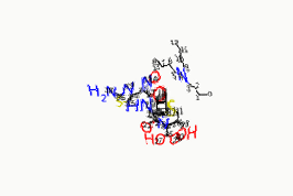 CCCCN(CCCC)CCCC.CO/N=C(\C(=O)N[C@@H]1C(=O)N2C(C(=O)O)=C(CO)CS[C@@H]12)c1csc(N)n1